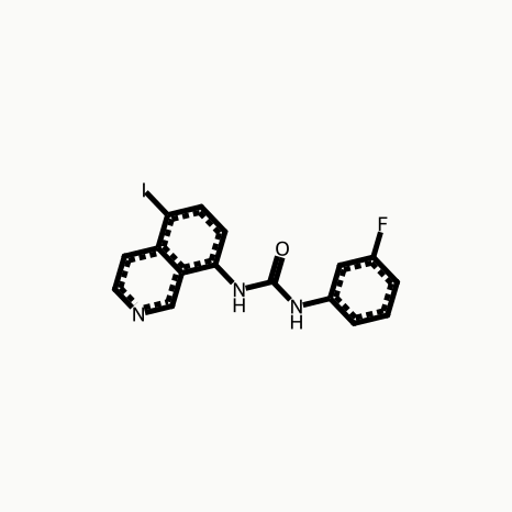 O=C(Nc1cccc(F)c1)Nc1ccc(I)c2ccncc12